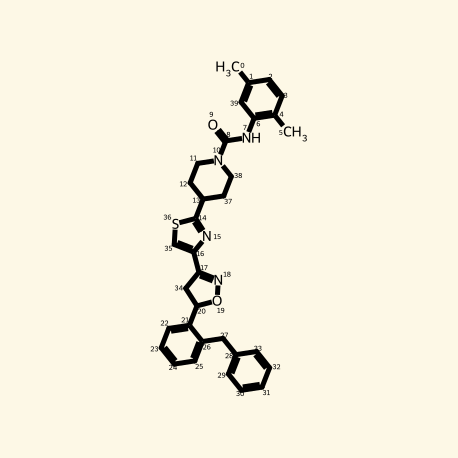 Cc1ccc(C)c(NC(=O)N2CCC(c3nc(C4=NOC(c5ccccc5Cc5ccccc5)C4)cs3)CC2)c1